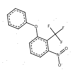 O=[N+]([O-])c1cccc(Oc2ccccc2)c1C(F)(F)F